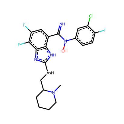 CN1CCCCC1C[AsH]c1nc2c(F)c(F)cc(C(=N)N(O)c3ccc(F)c(Cl)c3)c2[nH]1